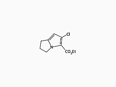 CCOC(=O)c1c(Cl)cc2n1CCC2